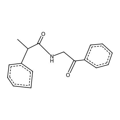 CC(C(=O)NCC(=O)c1ccccc1)c1ccccc1